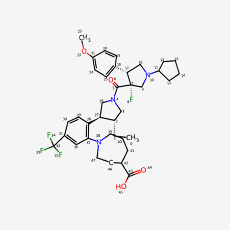 CC[C@H]1CN(C(=O)[C@]2(F)CN(C3CCCC3)C[C@H]2c2ccc(OC)cc2)C[C@@H]1c1ccc(C(F)(F)F)cc1N1CCCC(C(=O)O)CC1